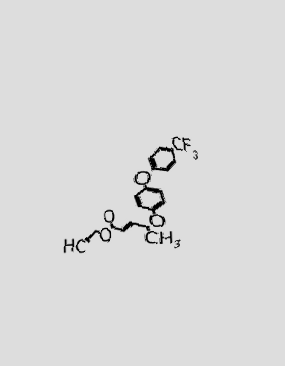 C#CCOC(=O)/C=C/C(C)Oc1ccc(Oc2ccc(C(F)(F)F)cc2)cc1